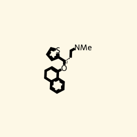 CNCC[C@H](OC1=CCCc2ccccc21)c1cccs1